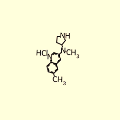 Cc1ccc2ncc(N(C)C3CCNC3)cc2c1.Cl